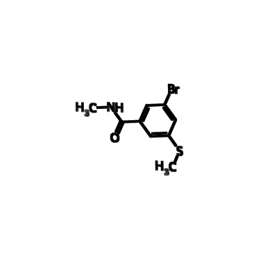 CNC(=O)c1cc(Br)cc(SC)c1